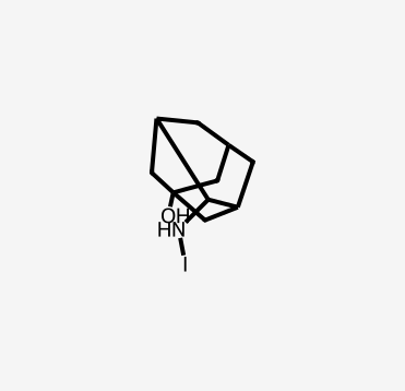 OC12CC3CC(C1)C(NI)C(C3)C2